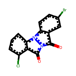 O=c1c2cc(Br)ccc2n2c3cccc(Cl)c3c(=O)n12